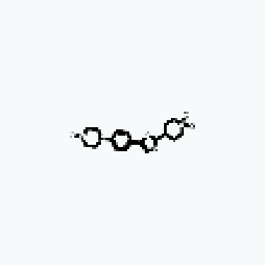 O=S1(=O)CCC(c2ncc(-c3ccc(N4CC[S+]([O-])CC4)cc3)s2)CC1